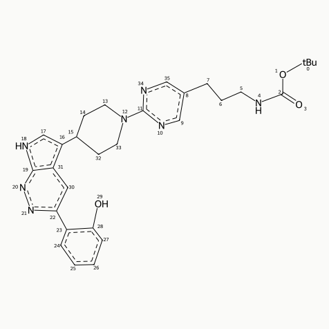 CC(C)(C)OC(=O)NCCCc1cnc(N2CCC(c3c[nH]c4nnc(-c5ccccc5O)cc34)CC2)nc1